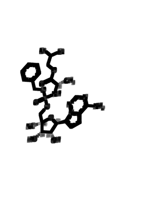 CCC(CC)COC(=O)[C@H](C)NP(=O)(OCc1ccccc1)OC[C@@]1(C#N)O[C@@H](c2ccc3c(N)ncnn23)[C@H](O)[C@@H]1O